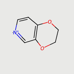 C1=CC2=C(C=[N+]1)OCCO2